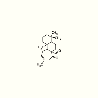 CC1=CCC2C(C=O)(CCC3C(C)(C)CCCC32C)C(=O)C1